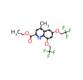 CCOC(=O)c1cc(C)c2cc(OCC(F)(F)F)cc(OCC(F)(F)F)c2n1